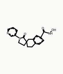 O=C(NO)c1ccc2c(c1)CC1(CC2)CCN(c2cccnc2)C1=O